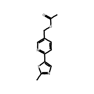 CC(=O)OCc1ccc(-c2cnc(C)s2)nc1